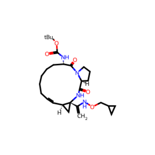 C=C(NOCC1CC1)[C@@]12C[C@H]1/C=C\CCCCC[C@H](NC(=O)OC(C)(C)C)C(=O)N1CCC[C@H]1C(=O)N2